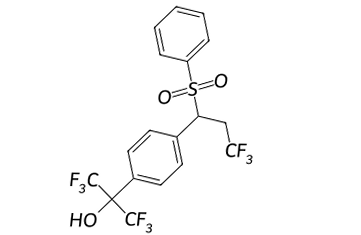 O=S(=O)(c1ccccc1)C(CC(F)(F)F)c1ccc(C(O)(C(F)(F)F)C(F)(F)F)cc1